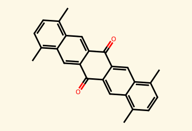 Cc1ccc(C)c2cc3c(cc12)C(=O)c1cc2c(C)ccc(C)c2cc1C3=O